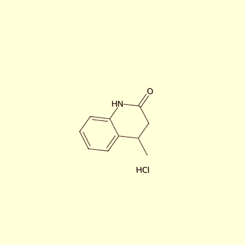 CC1CC(=O)Nc2ccccc21.Cl